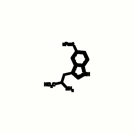 CCCCCc1ccc2[nH]cc(CC(N)C(=O)O)c2c1